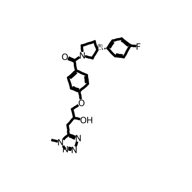 Cn1nnnc1CC(O)COc1ccc(C(=O)N2CC[C@H](c3ccc(F)cc3)C2)cc1